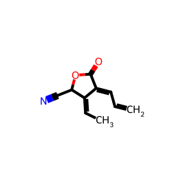 C=C/C=C1/C(=O)OC(C#N)/C1=C/C